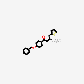 CCOC(=O)C(CC(=O)c1ccc(OCc2ccccc2)cc1)Cc1cccs1